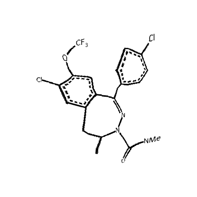 CNC(=O)N1N=C(c2ccc(Cl)cc2)c2cc(OC(F)(F)F)c(Cl)cc2CC1C